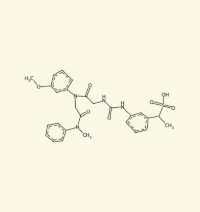 COc1cccc(N(CC(=O)N(C)c2ccccc2)C(=O)CNC(=O)Nc2cccc(C(C)S(=O)(=O)O)c2)c1